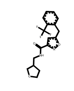 O=C(NCC1CCOC1)c1cc(Cc2ccccc2C(F)(F)F)on1